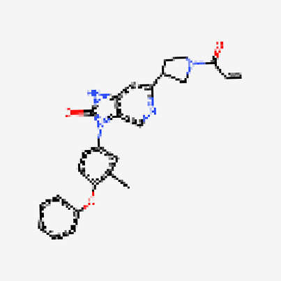 C=CC(=O)N1CCC(c2cc3[nH]c(=O)n(-c4ccc(Oc5ccccc5)c(C)c4)c3cn2)C1